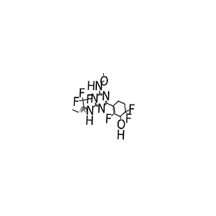 CC[C@@H](Nc1nc(NOC)nc(C2=C(F)C(O)C(F)(F)CC2)n1)C(F)(F)F